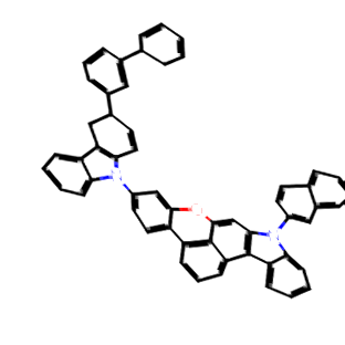 C1=CCC(c2cccc(C3C=Cc4c(c5ccccc5n4-c4ccc5c(c4)Oc4cc6c(c7cccc-5c47)c4ccccc4n6-c4ccc5ccccc5c4)C3)c2)C=C1